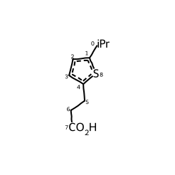 CC(C)c1ccc(CCC(=O)O)s1